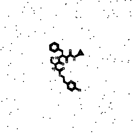 CCc1ccc(CCOC(=O)N[C@@H](CC(C)C)C(=O)N[C@@H](Cc2ccccc2)C(=O)C(=O)NC2CC2)nc1